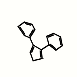 [C]1=C(c2ccccc2)C(c2ccccc2)=CC1